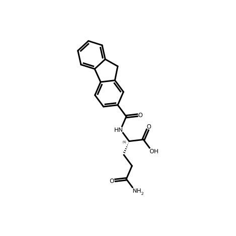 NC(=O)CC[C@H](NC(=O)c1ccc2c(c1)Cc1ccccc1-2)C(=O)O